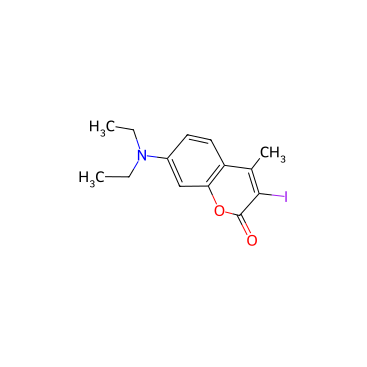 CCN(CC)c1ccc2c(C)c(I)c(=O)oc2c1